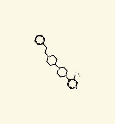 Cc1cnccc1N1CCN(C2CCN(CCc3ccccc3)CC2)CC1